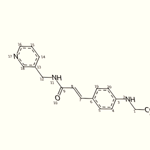 O=C(O)CNc1ccc(C=CC(=O)NCc2cccnc2)cc1